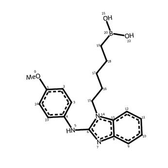 COc1ccc(Nc2nc3ccccc3n2CCCCCB(O)O)cc1